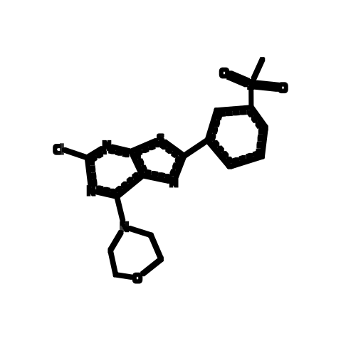 CS(=O)(=O)c1cccc(-c2nc3c(N4CCOCC4)nc(Cl)nc3s2)c1